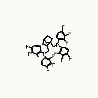 Fc1ccc(P(CC2CC3CCC2(CP(c2ccc(F)c(F)c2F)c2ccc(F)c(F)c2F)C3)c2ccc(F)c(F)c2F)c(F)c1F